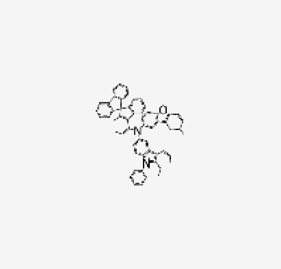 C/C=C\c1c(CC)n(-c2ccccc2)c2ccc(N(/C(=C/C)C3=C(C)C4(c5ccccc53)c3ccccc3-c3ccccc34)c3ccc4oc5c(c4c3)CC(C)C=C5)cc12